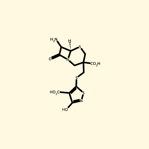 NC1C(=O)N2CC(CSc3snc(O)c3C(=O)O)(C(=O)O)CS[C@H]12